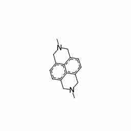 CN1Cc2ccc3c4c(ccc(c24)C1)CN(C)C3